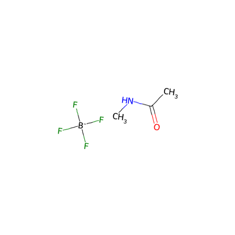 CNC(C)=O.F[B-](F)(F)F